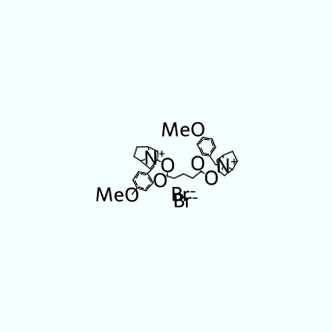 COc1ccc(C[N+]2(C)C3CCC2CC(OC(=O)CCCC(=O)OC2CC4CCC(C2)[N+]4(C)Cc2ccc(OC)cc2)C3)cc1.[Br-].[Br-]